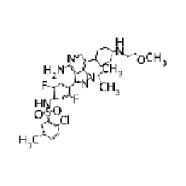 COCCNC1CCC(c2cnc(N)c3c(-c4cc(F)c(NS(=O)(=O)c5cc(C)ccc5Cl)cc4F)nn(C(C)C)c23)CC1